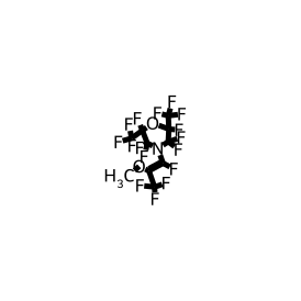 COC(=C(F)N1C(F)(F)C(F)(C(F)(F)F)OC(F)(C(F)(F)F)C1(F)F)C(F)(F)F